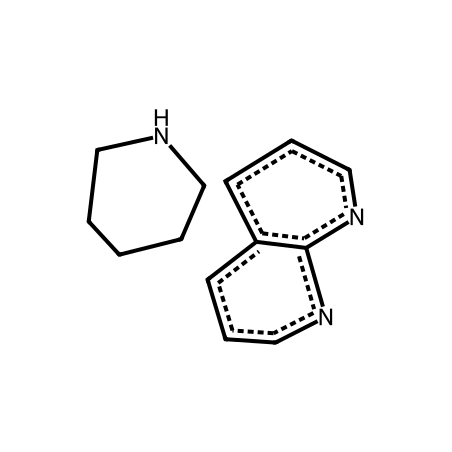 C1CCNCC1.c1cnc2ncccc2c1